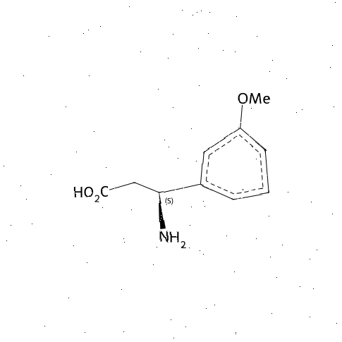 COc1cccc([C@@H](N)CC(=O)O)c1